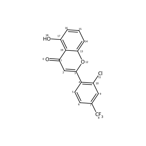 O=c1cc(-c2ccc(C(F)(F)F)cc2Cl)oc2cccc(O)c12